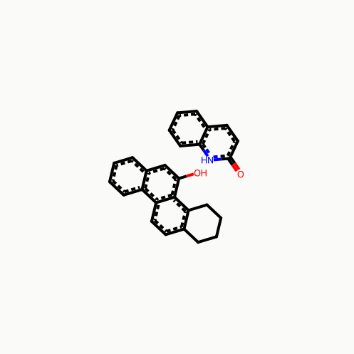 O=c1ccc2ccccc2[nH]1.Oc1cc2ccccc2c2ccc3c(c12)CCCC3